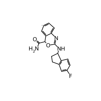 NC(=O)C1OC(NC2CCc3cc(F)ccc32)=Nc2cc[c]cc21